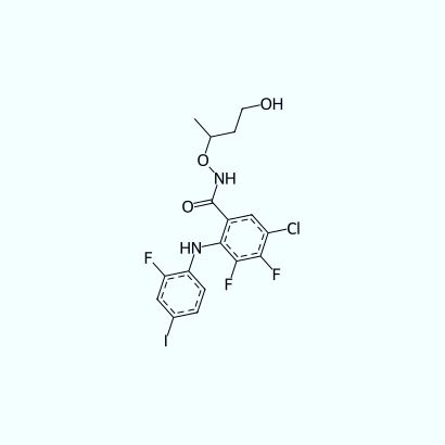 CC(CCO)ONC(=O)c1cc(Cl)c(F)c(F)c1Nc1ccc(I)cc1F